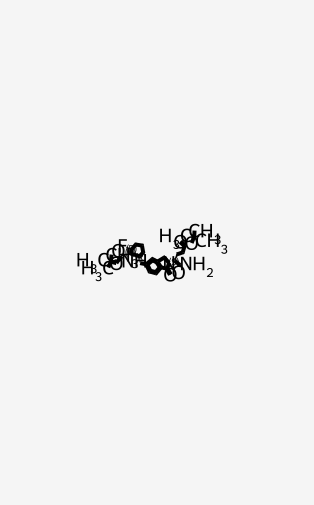 CC(C)(C)OC(=O)CC[C@@H](C(N)=O)N1Cc2cc(C[C@H]3CCC[C@@H](F)[C@@H]3NC(=O)OC(C)(C)C)ccc2C1=O